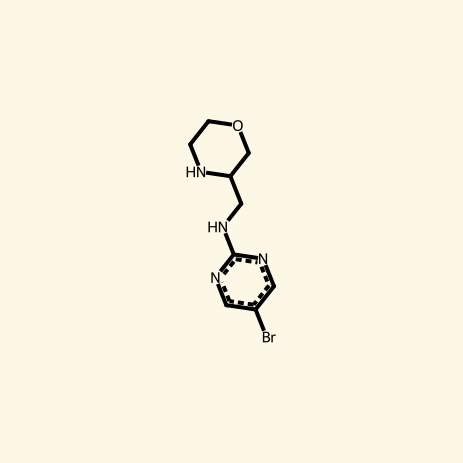 Brc1cnc(NCC2COCCN2)nc1